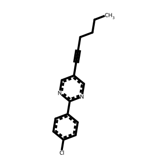 CCCCC#Cc1cnc(-c2ccc(Cl)cc2)nc1